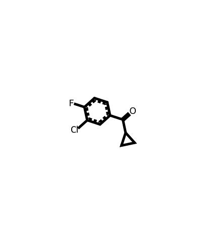 O=C(c1ccc(F)c(Cl)c1)C1CC1